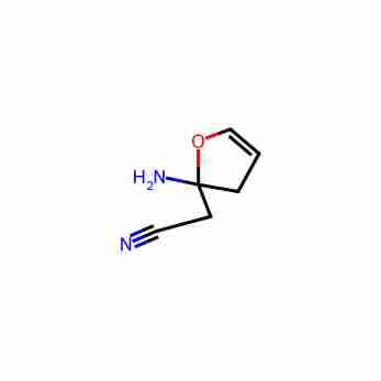 N#CCC1(N)CC=CO1